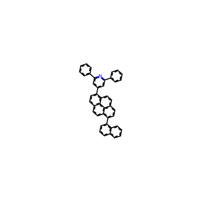 c1ccc(-c2cc(-c3ccc4ccc5c(-c6cccc7ccccc67)ccc6ccc3c4c65)cc(-c3ccccc3)n2)cc1